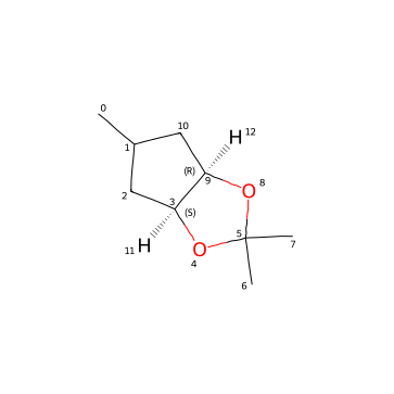 CC1C[C@@H]2OC(C)(C)O[C@@H]2C1